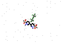 C[n+]1cc(-c2ccc(S(C)(=O)=O)[n+](C)c2)ccc1S(C)(=O)=O.F[B-](F)(F)F.F[B-](F)(F)F